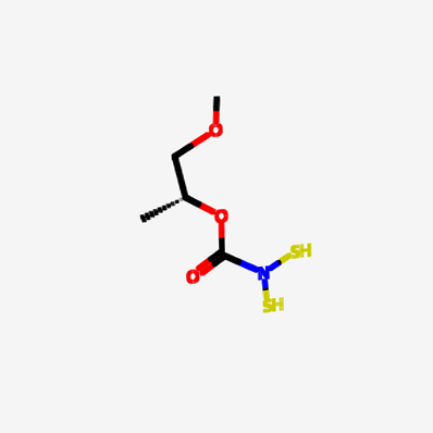 COC[C@@H](C)OC(=O)N(S)S